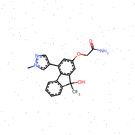 Cn1cc(-c2cc(OCC(N)=O)cc3c2-c2ccccc2C3(O)C(F)(F)F)cn1